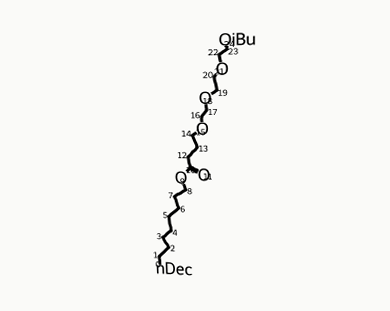 CCCCCCCCCCCCCCCCCCOC(=O)CCCOCCOCCOCCOCC(C)C